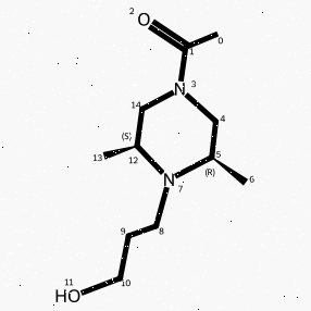 CC(=O)N1C[C@@H](C)N(CCCO)[C@@H](C)C1